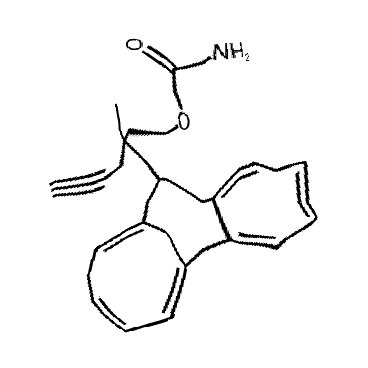 C#CC(C)(OC(N)=O)C1c2ccccc2-c2ccccc21